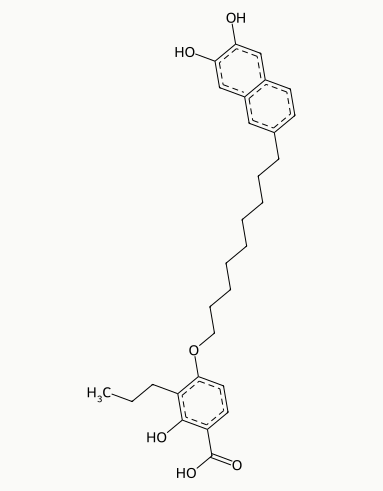 CCCc1c(OCCCCCCCCCc2ccc3cc(O)c(O)cc3c2)ccc(C(=O)O)c1O